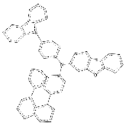 c1ccc(-c2cccc3cccc(-c4ccc(N(c5ccc(-n6c7ccccc7c7ccccc76)cc5)c5ccc6c(c5)oc5ccccc56)cc4)c23)cc1